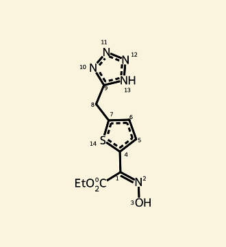 CCOC(=O)C(=NO)c1ccc(Cc2nnn[nH]2)s1